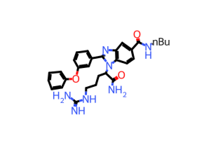 CCCCNC(=O)c1ccc2c(c1)nc(-c1cccc(Oc3ccccc3)c1)n2C(CCCNC(=N)N)C(N)=O